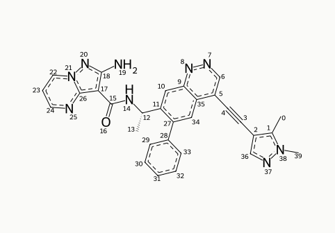 Cc1c(C#Cc2cnnc3cc([C@H](C)NC(=O)c4c(N)nn5cccnc45)c(-c4ccccc4)cc23)cnn1C